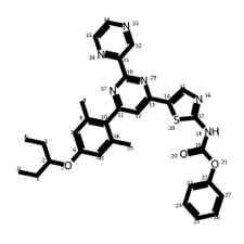 CCC(CC)Oc1cc(C)c(-c2cc(-c3cnc(NC(=O)Oc4ccccc4)s3)nc(-c3cnccn3)n2)c(C)c1